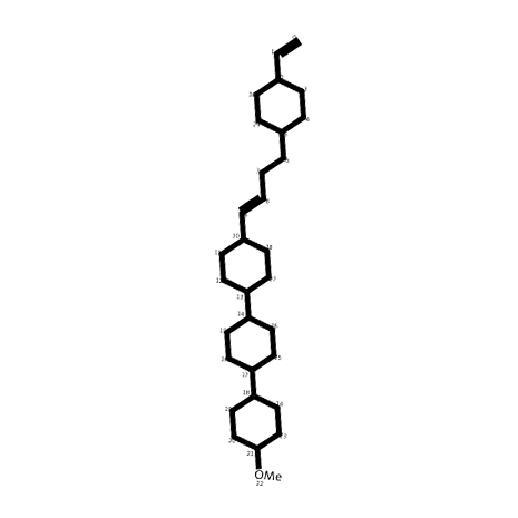 C=CC1CCC(CC/C=C/C2CCC(C3CCC(C4CCC(OC)CC4)CC3)CC2)CC1